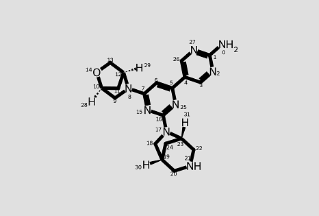 Nc1ncc(-c2cc(N3C[C@@H]4C[C@H]3CO4)nc(N3C[C@H]4CNC[C@@H]3C4)n2)cn1